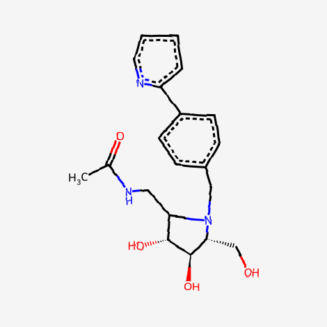 CC(=O)NCC1[C@@H](O)[C@H](O)[C@@H](CO)N1Cc1ccc(-c2ccccn2)cc1